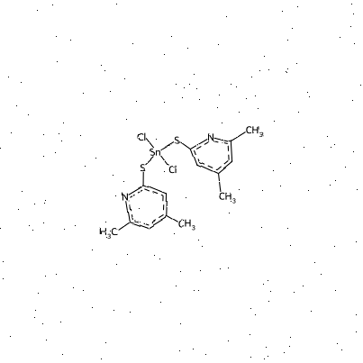 Cc1cc(C)nc([S][Sn]([Cl])([Cl])[S]c2cc(C)cc(C)n2)c1